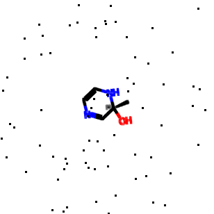 C[C@@]1(O)C=NC=CN1